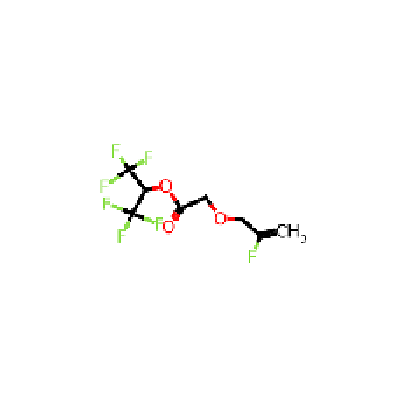 C=C(F)COCC(=O)OC(C(F)(F)F)C(F)(F)F